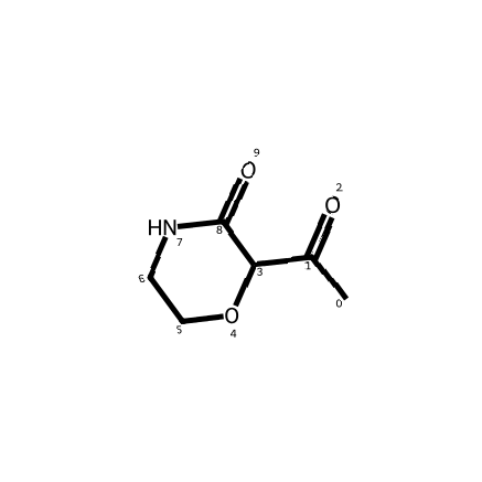 CC(=O)C1OCCNC1=O